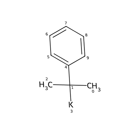 C[C](C)([K])c1ccccc1